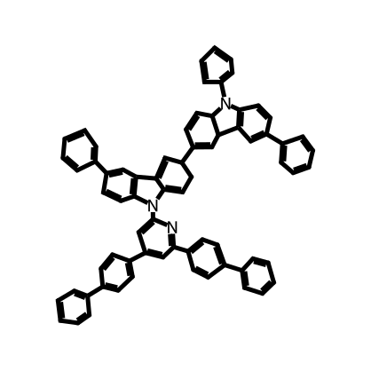 C1=CC2C(C=C1C1C=c3c(n(-c4cc(-c5ccc(-c6ccccc6)cc5)cc(-c5ccc(-c6ccccc6)cc5)n4)c4ccc(-c5ccccc5)cc34)=CC1)c1cc(-c3ccccc3)ccc1N2c1ccccc1